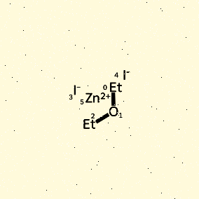 CCOCC.[I-].[I-].[Zn+2]